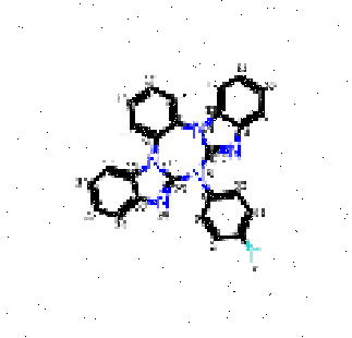 Fc1ccc(-n2c3nc4ccccc4n3c3ccccc3n3c4ccccc4nc23)cc1